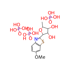 COc1ccc2nc(C3OC(C)C(O)C3O)sc2c1.O=P(O)(O)O.O=P(O)(O)O.O=P(O)(O)O